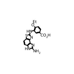 CCOc1ccc(C(=O)O)cc1Nc1nc2c(ccc3[nH]c(N)nc32)s1